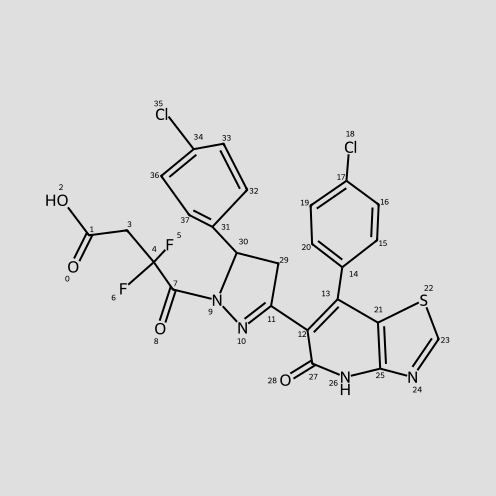 O=C(O)CC(F)(F)C(=O)N1N=C(c2c(-c3ccc(Cl)cc3)c3scnc3[nH]c2=O)CC1c1ccc(Cl)cc1